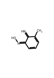 CC1=CC=C/C(=N/O)C1=N